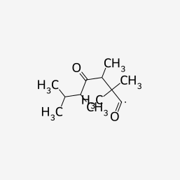 CC(C)C(C)C(=O)C(C)C(C)(C)[C]=O